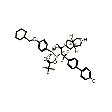 O=C([C@H](N(OC(=O)C(F)(F)F)S(=O)(=O)c1ccc(OCC2CCCCC2)cc1)C(F)(F)c1ccc(-c2ccc(Cl)cc2)cc1)N1C[C@H]2CNC[C@H]2C1